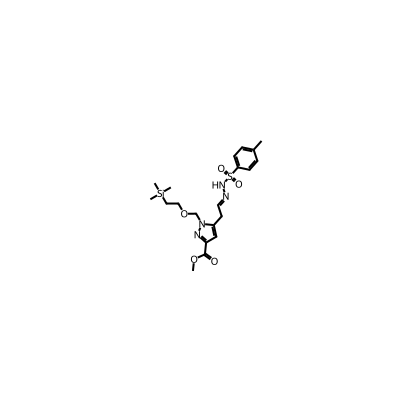 COC(=O)c1cc(CC=NNS(=O)(=O)c2ccc(C)cc2)n(COCC[Si](C)(C)C)n1